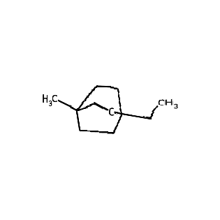 CCC12CCC(C)(CC1)CC2